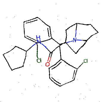 O=C(NC1CCCC1)C1CC2CCC(C1)N2C(c1ccccc1Cl)c1ccccc1Cl